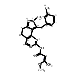 CN/C(C)=C\C(=N)Nc1ncc2c(n1)-c1c(nn(C)c1Cc1cccc(C)c1)CC2